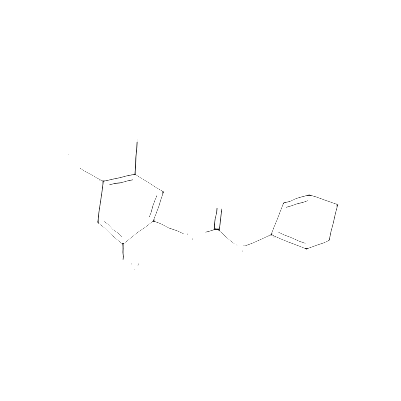 COc1cc(C)c(Cl)cc1NC(=S)NC1=CC[CH]C=C1